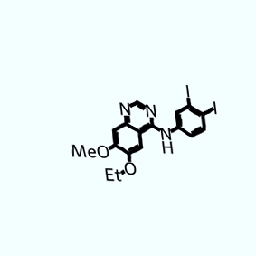 CCOc1cc2c(Nc3ccc(I)c(I)c3)ncnc2cc1OC